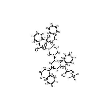 CC(C)(C)OC(=O)n1c(CN(CCN2CCC(N(Cc3ccccc3)S(=O)(=O)c3ccccc3[N+](=O)[O-])CC2)C2CCCc3cccnc32)nc2ccccc21